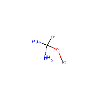 [CH2]CC(N)(N)OCC